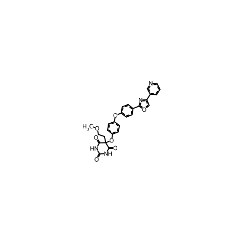 COCCC1(Oc2ccc(Oc3ccc(-c4nc(-c5cccnc5)co4)cc3)cc2)C(=O)NC(=O)NC1=O